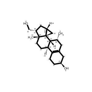 C[C@@H]1CC2=C(CC[C@H](O)C2)[C@H]2CC[C@]3(C)[C@H](CO)C[C@@H]4C[C@]43[C@H]12